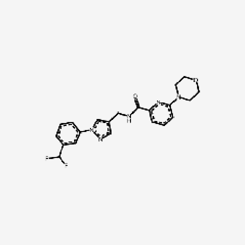 O=C(NCc1cnn(-c2cccc(C(F)F)c2)c1)c1cccc(N2CCOCC2)n1